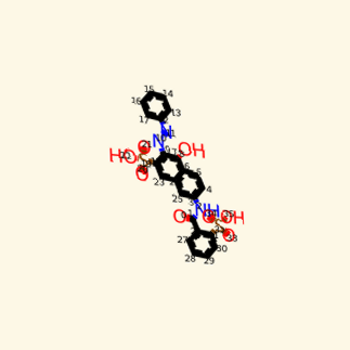 O=C(Nc1ccc2c(O)c(N=Nc3ccccc3)c(S(=O)(=O)O)cc2c1)c1ccccc1S(=O)(=O)O